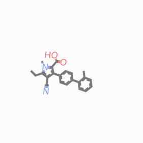 CCc1c(C#N)c(-c2ccc(-c3ccccc3C)cc2)c(C(=O)O)n1C